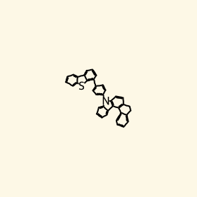 c1ccc2c(c1)CCc1ccc3c(c1-2)c1ccccc1n3-c1ccc(-c2cccc3c2sc2ccccc23)cc1